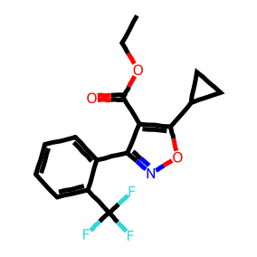 CCOC(=O)c1c(-c2ccccc2C(F)(F)F)noc1C1CC1